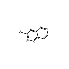 Clc1ncc2ccncc2n1